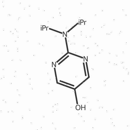 CC(C)N(c1ncc(O)cn1)C(C)C